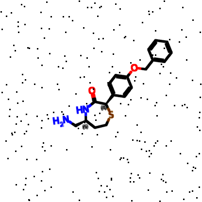 NC[C@@H]1CCS[C@H](c2ccc(OCc3ccccc3)cc2)C(=O)N1